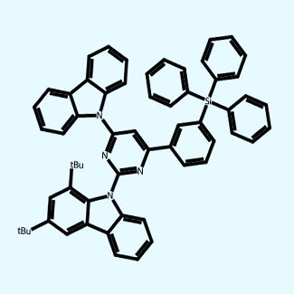 CC(C)(C)c1cc(C(C)(C)C)c2c(c1)c1ccccc1n2-c1nc(-c2cccc([Si](c3ccccc3)(c3ccccc3)c3ccccc3)c2)cc(-n2c3ccccc3c3ccccc32)n1